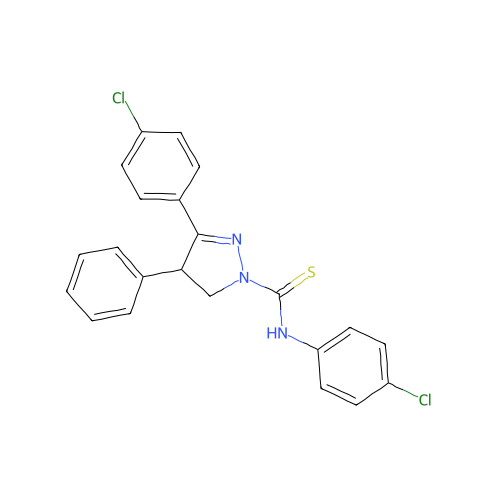 S=C(Nc1ccc(Cl)cc1)N1CC(c2ccccc2)C(c2ccc(Cl)cc2)=N1